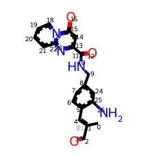 C/C(C=O)=C\c1ccc(CNC(=O)c2cc(=O)n3ccccc3n2)cc1N